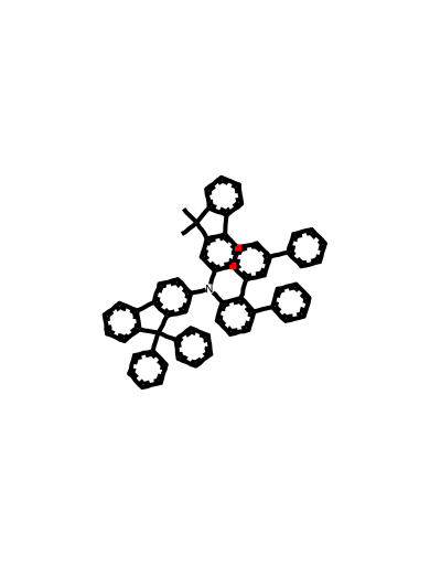 CC1(C)c2ccccc2-c2ccc(N(c3ccc4c(c3)C(c3ccccc3)(c3ccccc3)c3ccccc3-4)c3cccc(-c4ccccc4)c3-c3cccc(-c4ccccc4)c3)cc21